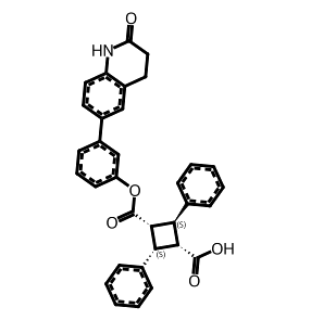 O=C1CCc2cc(-c3cccc(OC(=O)[C@H]4[C@@H](c5ccccc5)[C@@H](C(=O)O)[C@@H]4c4ccccc4)c3)ccc2N1